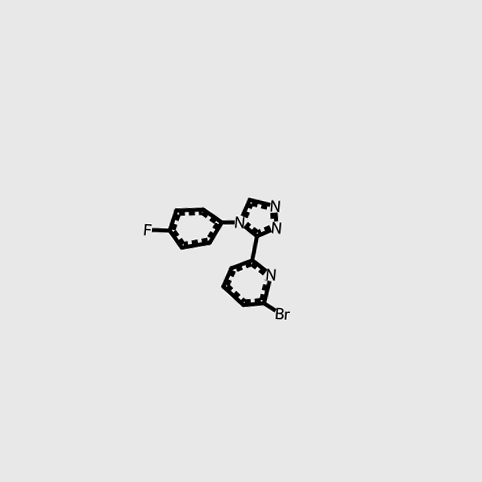 Fc1ccc(-n2cnnc2-c2cccc(Br)n2)cc1